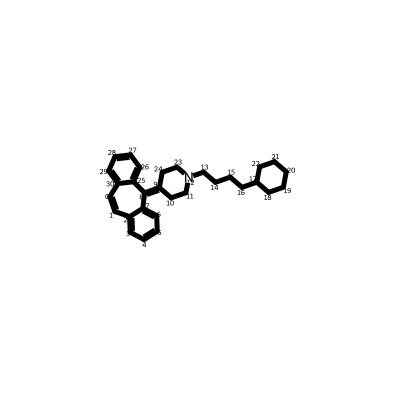 C1=Cc2ccccc2C(=C2CCN(CCCCC3CCCCC3)CC2)c2ccccc21